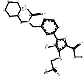 COC(=O)c1sc(-c2cccc(CN(CC3CCCCC3)C(C)=O)c2)c(Br)c1OCC(=O)O